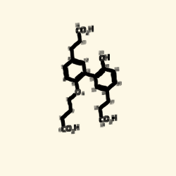 O=C(O)CCCOc1ccc(CCC(=O)O)cc1-c1cc(CCC(=O)O)ccc1O